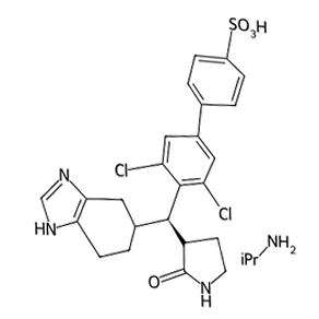 CC(C)N.O=C1NCCC1[C@H](c1c(Cl)cc(-c2ccc(S(=O)(=O)O)cc2)cc1Cl)C1CCc2[nH]cnc2C1